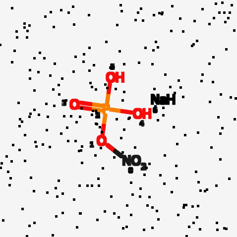 O=[N+]([O-])OP(=O)(O)O.[NaH]